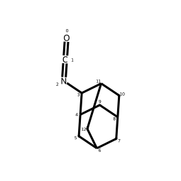 O=C=NC1C2CC3CC(C2)CC1C3